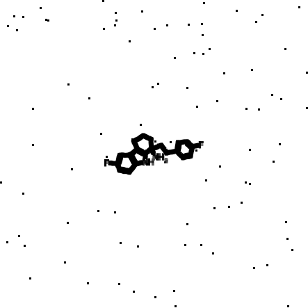 NC1(CCc2ccc(F)cc2)CCCc2c1[nH]c1ccc(F)cc21